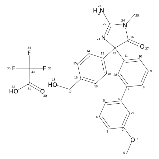 COc1cccc(-c2cccc(C3(c4ccc(CO)cc4)N=C(N)N(C)C3=O)c2)c1.O=C(O)C(F)(F)F